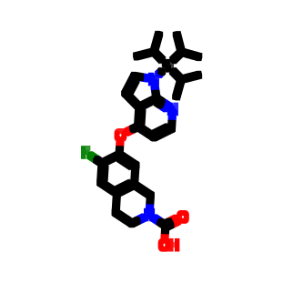 CC(C)[Si](C(C)C)(C(C)C)n1ccc2c(Oc3cc4c(cc3F)CCN(C(=O)O)C4)ccnc21